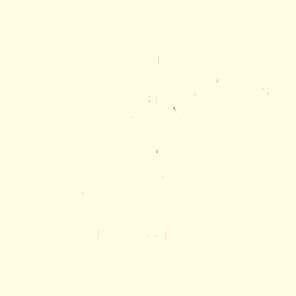 Cc1c(O)c(O)cc2c1C(SC(=O)c1ccccc1)C=C1[C@@]2(C)CC[C@@]2(C)[C@@H]3C[C@](C)(C(N)=O)CC[C@]3(C)CC[C@]12C